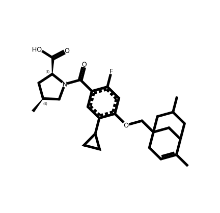 CC1=CCC2(COc3cc(F)c(C(=O)N4C[C@@H](C)C[C@H]4C(=O)O)cc3C3CC3)CC(C)CC1C2